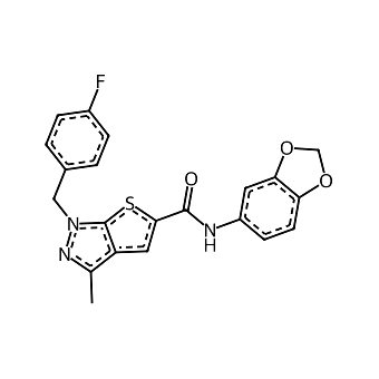 Cc1nn(Cc2ccc(F)cc2)c2sc(C(=O)Nc3ccc4c(c3)OCO4)cc12